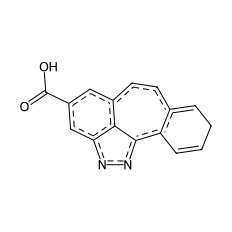 O=C(O)c1cc2ccc3c(c4nnc(c1)c2-4)C=CCC=3